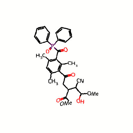 COC(=O)C(CC(=O)c1c(C)cc(C)c(C(=O)P(=O)(c2ccccc2)c2ccccc2)c1C)C(C#N)C(O)OC